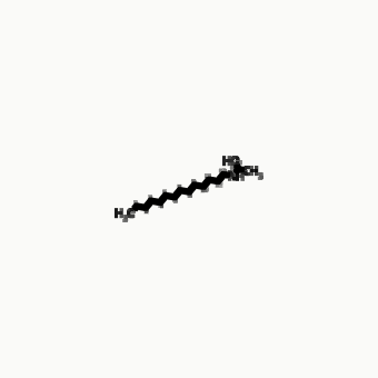 CCCCCCCCCCCCCCNC(C)O